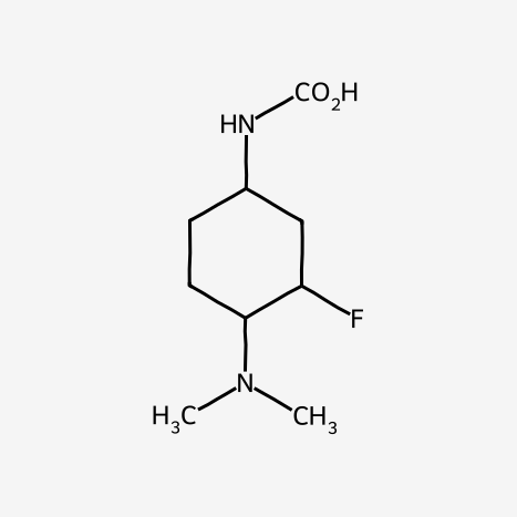 CN(C)C1CCC(NC(=O)O)CC1F